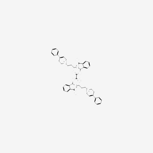 O=C(OC1c2ccccc2C(=O)N1CCCN1CC=C(c2ccccc2)CC1)C(=O)OC1c2ccccc2C(=O)N1CCCN1CC=C(c2ccccc2)CC1